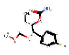 CC[C@H](OC(N)=O)[C@@H](OCOC)c1ccc(F)cc1